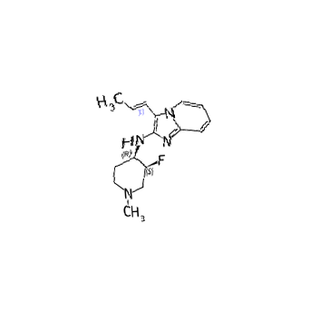 C/C=C/c1c(N[C@@H]2CCN(C)C[C@@H]2F)nc2ccccn12